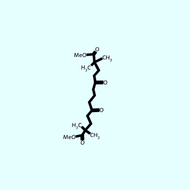 COC(=O)C(C)(C)CCC(=O)CCCC(=O)CCC(C)(C)C(=O)OC